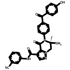 C[C@]1([SiH3])Cn2ncc(C(=O)Nc3cccc(C#N)c3)c2C(=O)N1c1ccc(C(=O)c2ccc(O)cc2)cc1